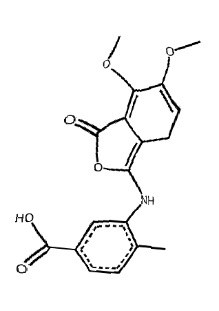 COC1=CCC2=C(Nc3cc(C(=O)O)ccc3C)OC(=O)C2=C1OC